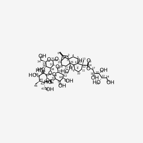 C=C1C[C@@]23CC[C@H]4[C@@](C)(CCC[C@@]4(C)C(=O)OC[C@@H](O)[C@H](O)[C@@H](O)CO)[C@@H]2CC[C@]1(O[C@@H]1O[C@H](CO)[C@@H](O)[C@H](O[C@@H]2O[C@H](CO)[C@@H](C)[C@H](O)[C@H]2O)[C@H]1O[C@@H]1O[C@H](CO)[C@@H](O)[C@H](O)[C@H]1O)C3